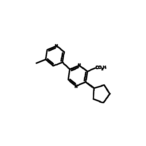 Cc1cncc(-c2cnc(C3CCCC3)c(C(=O)O)n2)c1